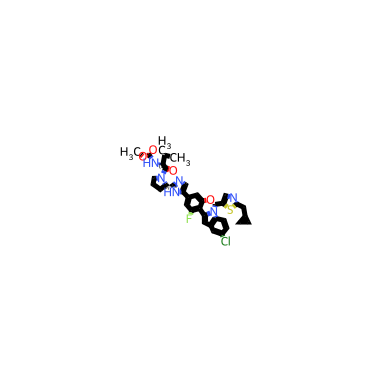 COC(=O)N[C@H](C(=O)N1CCC[C@H]1c1ncc(-c2cc(F)c3c(c2)OC(c2cnc(CC4CC4)s2)n2c-3cc3cc(Cl)ccc32)[nH]1)C(C)C